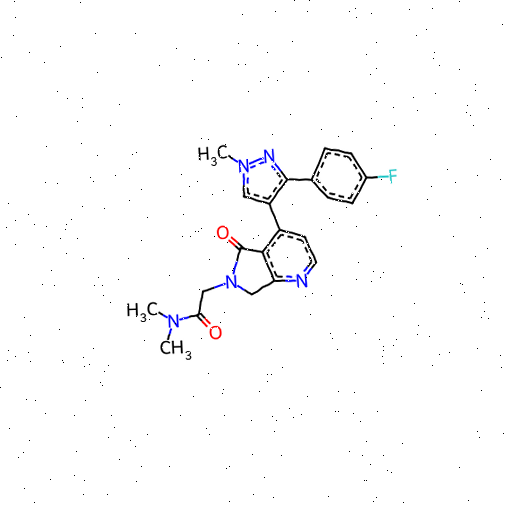 CN(C)C(=O)CN1Cc2nccc(-c3cn(C)nc3-c3ccc(F)cc3)c2C1=O